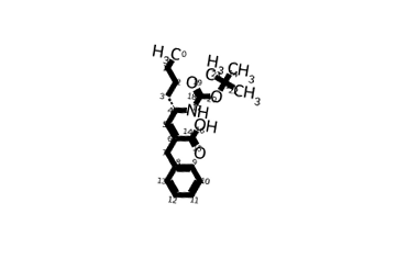 CCCC[C@@H](C=C(Cc1ccccc1)C(=O)O)NC(=O)OC(C)(C)C